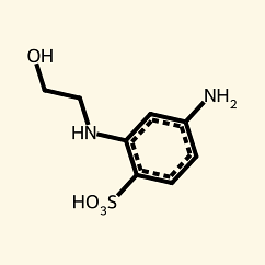 Nc1ccc(S(=O)(=O)O)c(NCCO)c1